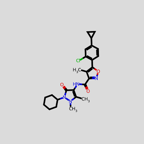 Cc1c(C(=O)Nc2c(C)n(C)n(C3CCCCC3)c2=O)noc1-c1ccc(C2CC2)cc1Cl